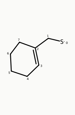 [S]CC1=CCCCC1